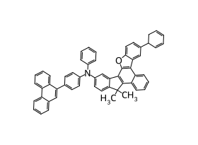 CC1(C)c2ccc(N(c3ccccc3)c3ccc(-c4cc5ccccc5c5ccccc45)cc3)cc2-c2c1c1ccccc1c1c2oc2ccc(C3C=CC=CC3)cc21